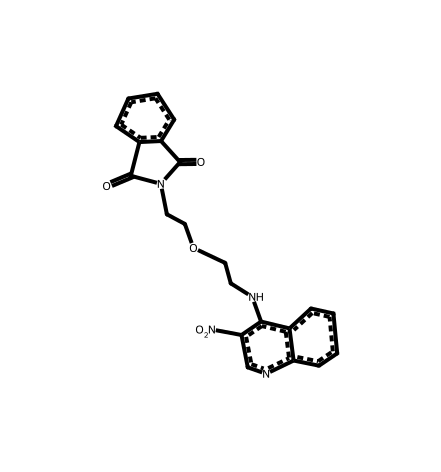 O=C1c2ccccc2C(=O)N1CCOCCNc1c([N+](=O)[O-])cnc2ccccc12